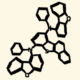 c1ccc(N(c2ccc(N(c3ccccc3)c3cccc4oc5ccccc5c34)c3c2sc2c4ccccc4ccc23)c2cccc3oc4ccccc4c23)cc1